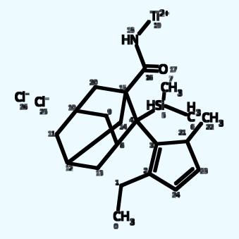 CCC1=C(C2([SiH](C)C)C3CC4CC(C3)CC2(C(=O)[NH][Ti+2])C4)C(C)C=C1.[Cl-].[Cl-]